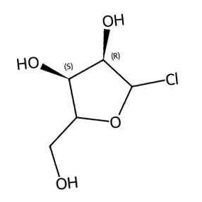 OCC1OC(Cl)[C@H](O)[C@@H]1O